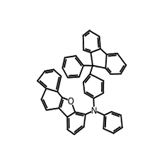 c1ccc(N(c2ccc(C3(c4ccccc4)c4ccccc4-c4ccccc43)cc2)c2cccc3c2oc2c4ccccc4ccc32)cc1